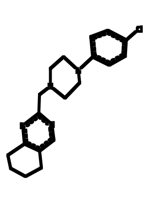 Clc1ccc(N2CCN(Cc3ncc4c(n3)CCCC4)CC2)cc1